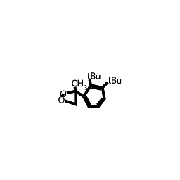 CC(C)(C)c1cccc(C2(C)COO2)c1C(C)(C)C